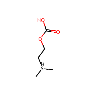 C[SiH](C)CCOC(=O)O